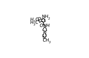 CN1CCN([C@H]2CC[C@H](NC(=O)c3ccc(N)c4c3CC(C)(C)O4)CC2)CC1